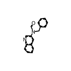 O=CN(Cc1ccccc1)c1cnc2ccccc2c1